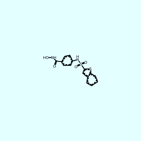 O=C(NO)c1ccc(NS(=O)(=O)c2cc3ccccc3s2)cc1